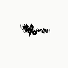 COc1c(-c2cccc(OCCN3CCNCC3)c2)c(F)cc2c(=O)c3c(=O)[nH]sc3n(C3CC3)c12